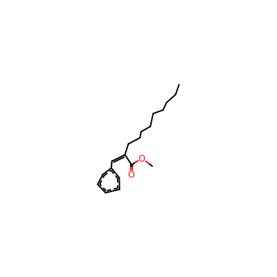 CCCCCCCCCC(=Cc1ccccc1)C(=O)OC